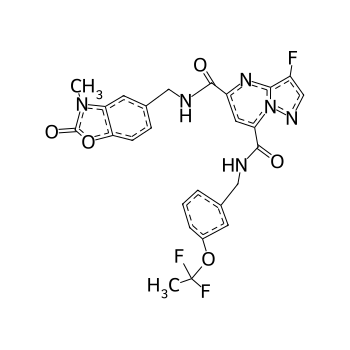 Cn1c(=O)oc2ccc(CNC(=O)c3cc(C(=O)NCc4cccc(OC(C)(F)F)c4)n4ncc(F)c4n3)cc21